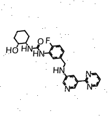 O=C(Nc1cc(CNc2cncc(-c3ncccn3)c2)ccc1F)N[C@@H]1CCCC[C@@H]1O